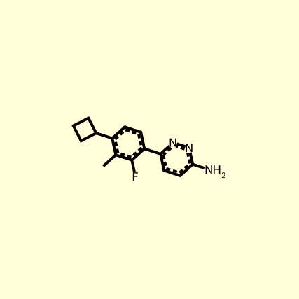 Cc1c(C2CCC2)ccc(-c2ccc(N)nn2)c1F